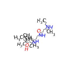 CCCNC(C)CCC(=O)NCCCNC(C)CC(O)C(C)(C)CC(C)(C)C